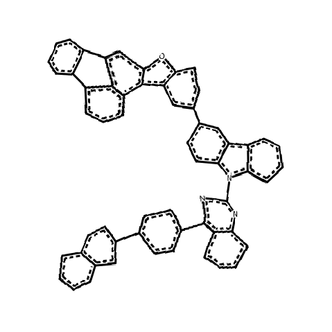 c1ccc2c(c1)-c1cccc3c1c-2cc1oc2ccc(-c4ccc5c(c4)c4ccccc4n5-c4nc(-c5ccc(-c6ccc7ccccc7c6)cc5)c5ccccc5n4)cc2c13